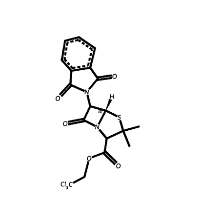 CC1(C)S[C@H]2C(N3C(=O)c4ccccc4C3=O)C(=O)N2C1C(=O)OCC(Cl)(Cl)Cl